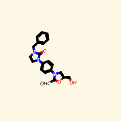 O=CC1OC(CO)CN1c1ccc(N2CCN(Cc3ccccc3)C2=O)cc1